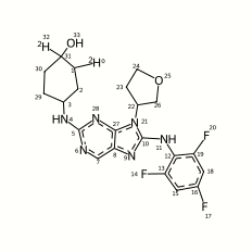 [2H]C1CC(Nc2ncc3nc(Nc4c(F)cc(F)cc4F)n(C4CCOC4)c3n2)CCC1([2H])O